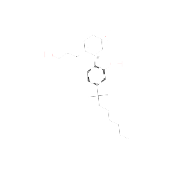 CCCCCCC(C)(C)c1ccc([C@@H]2C[C@H](O)CC[C@@H]2CCCO)c(O)c1